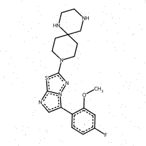 COc1cc(F)ccc1-c1cnc2sc(N3CCC4(CC3)CNCCN4)nn12